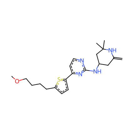 C=C1CC(Nc2nccc(-c3ccc(CCCCOC)s3)n2)CC(C)(C)N1